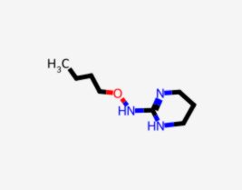 CCCCONC1=NCCCN1